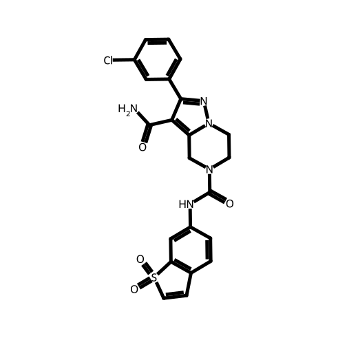 NC(=O)c1c(-c2cccc(Cl)c2)nn2c1CN(C(=O)Nc1ccc3c(c1)S(=O)(=O)C=C3)CC2